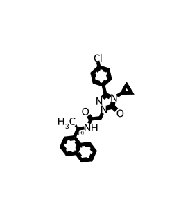 C[C@@H](NC(=O)Cn1nc(-c2ccc(Cl)cc2)n(C2CC2)c1=O)c1cccc2ccccc12